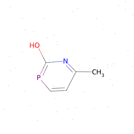 Cc1ccpc(O)n1